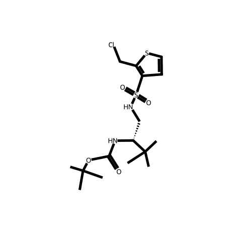 CC(C)(C)OC(=O)N[C@H](CNS(=O)(=O)c1ccsc1CCl)C(C)(C)C